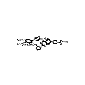 COc1cc(-n2cnc(Nc3nc(N4CCCC4CO)nc4cc(N5CCN(C(=O)OC(C)(C)C)CC5)ccc34)c2)cc(OC)c1OC